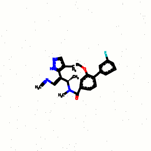 C=N/C=C(\c1[nH]ncc1C)[C@H](C)N(C)C(=O)c1ccc(-c2cccc(F)c2)c(OCC)c1